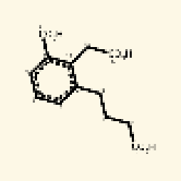 O=C(O)CCCc1cccc(C(=O)O)c1CC(=O)O